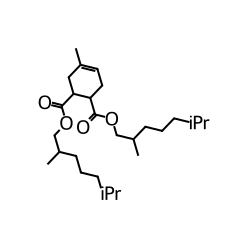 CC1=CCC(C(=O)OCC(C)CCCC(C)C)C(C(=O)OCC(C)CCCC(C)C)C1